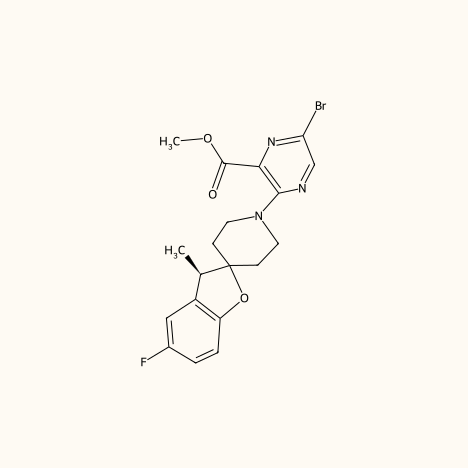 COC(=O)c1nc(Br)cnc1N1CCC2(CC1)Oc1ccc(F)cc1[C@H]2C